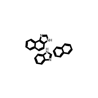 c1ccc2[nH]cnc2c1.c1ccc2c(c1)ccc1[nH]cnc12.c1ccc2ccccc2c1